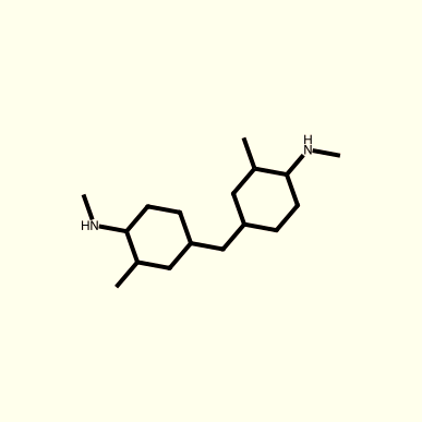 CNC1CCC(CC2CCC(NC)C(C)C2)CC1C